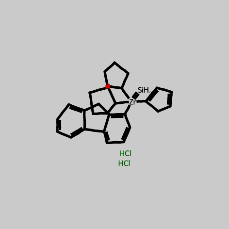 Cl.Cl.[SiH2]=[Zr]([C]1=CC=CC1)([c]1cccc2c1Cc1ccccc1-2)([CH]1CCCC1)[CH]1CCCC1